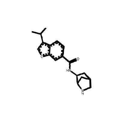 CC(C)c1coc2cc(C(=O)NC3CC4CNC3C4)ccc12